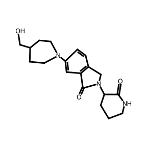 O=C1NCCCC1N1Cc2ccc(N3CCC(CO)CC3)cc2C1=O